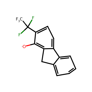 [O]c1c(C(F)(F)C(F)(F)F)ccc2c1Cc1ccccc1-2